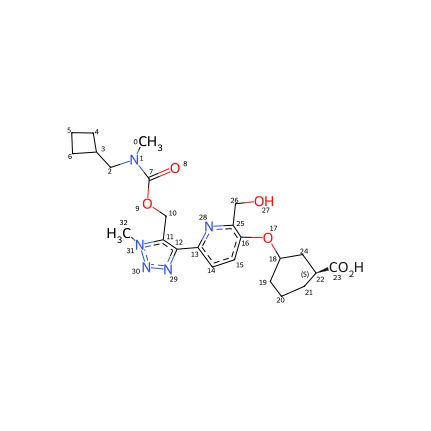 CN(CC1CCC1)C(=O)OCc1c(-c2ccc(OC3CCC[C@H](C(=O)O)C3)c(CO)n2)nnn1C